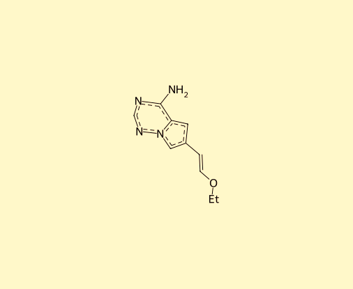 CCO/C=C/c1cc2c(N)ncnn2c1